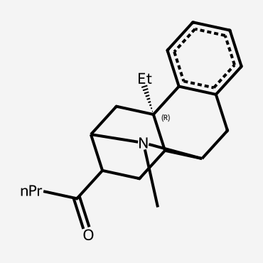 CCCC(=O)C1CC2C3Cc4ccccc4[C@]2(CC)CC1N3C